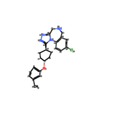 Cc1cccc(O[C@H]2CC[C@H](c3nnc4n3-c3ccc(Cl)cc3CNC4)CC2)c1